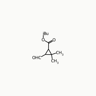 CCC(C)OC(=O)C1C(C=O)C1(C)C